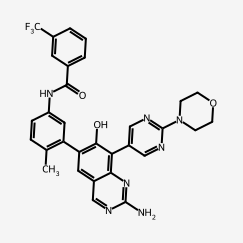 Cc1ccc(NC(=O)c2cccc(C(F)(F)F)c2)cc1-c1cc2cnc(N)nc2c(-c2cnc(N3CCOCC3)nc2)c1O